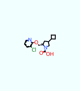 O=C(O)N1CC(C2CCC2)C[C@@H]1COc1ncccc1Cl